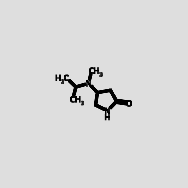 CC(C)N(C)C1CNC(=O)C1